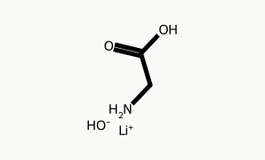 NCC(=O)O.[Li+].[OH-]